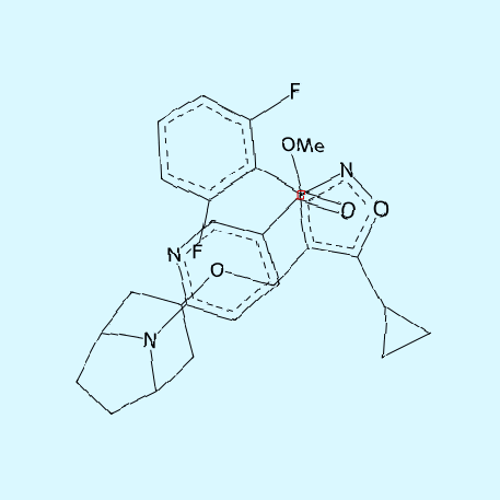 COC(=O)c1ccc(N2C3CCC2CC(OCc2c(-c4c(F)cccc4F)noc2C2CC2)C3)nc1